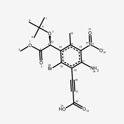 COC(=O)[C@@H](OC(C)(C)C)c1c(C)c([N+](=O)[O-])c(N)c(C#CC(=O)O)c1Br